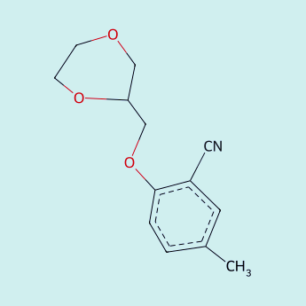 Cc1ccc(OCC2COCCO2)c(C#N)c1